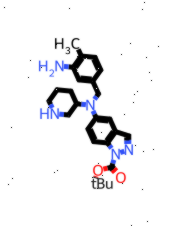 Cc1ccc(CN(c2ccc3c(cnn3C(=O)OC(C)(C)C)c2)C2CCCNC2)cc1N